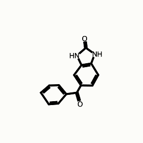 O=C(c1ccccc1)c1ccc2[nH]c(=O)[nH]c2c1